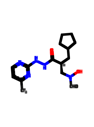 O=CN(O)C[C@H](CC1CCCC1)C(=O)NNc1nccc(C(F)(F)F)n1